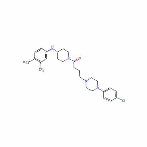 CSc1ccc(NC2CCN(C(=O)CCCN3CCN(c4ccc(Cl)cc4)CC3)CC2)cc1C(F)(F)F